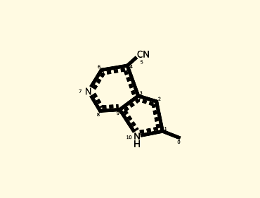 Cc1cc2c(C#N)cncc2[nH]1